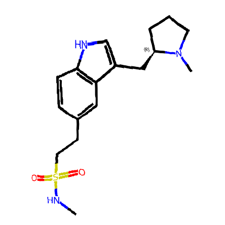 CNS(=O)(=O)CCc1ccc2[nH]cc(C[C@H]3CCCN3C)c2c1